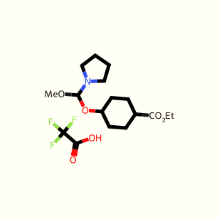 CCOC(=O)C1CCC(OC(OC)N2CCCC2)CC1.O=C(O)C(F)(F)F